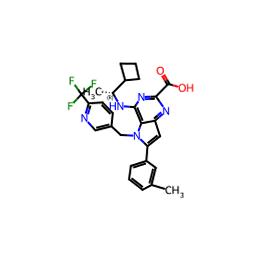 Cc1cccc(-c2cc3nc(C(=O)O)nc(N[C@H](C)C4CCC4)c3n2Cc2ccc(C(F)(F)F)nc2)c1